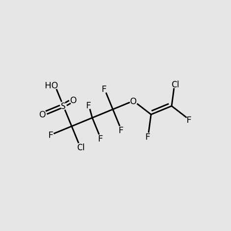 O=S(=O)(O)C(F)(Cl)C(F)(F)C(F)(F)OC(F)=C(F)Cl